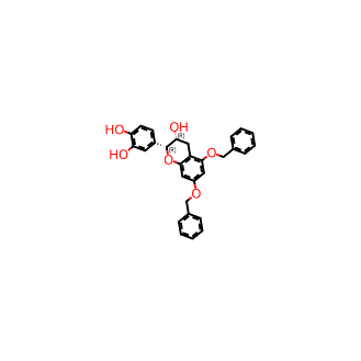 Oc1ccc([C@H]2Oc3cc(OCc4ccccc4)cc(OCc4ccccc4)c3C[C@H]2O)cc1O